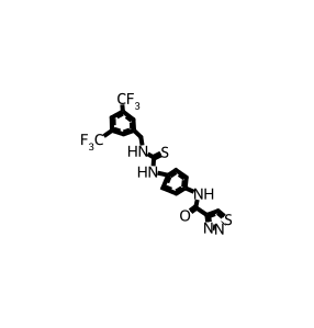 O=C(Nc1ccc(NC(=S)NCc2cc(C(F)(F)F)cc(C(F)(F)F)c2)cc1)c1csnn1